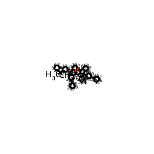 CC1(C)c2ccccc2-c2ccc(N(c3ccccc3)c3ccc(-c4ccccc4)cc3-c3ccc4c(c3)C(c3ccc(-c5ccccc5)cc3)(c3cccnc3)c3ccccc3-4)cc21